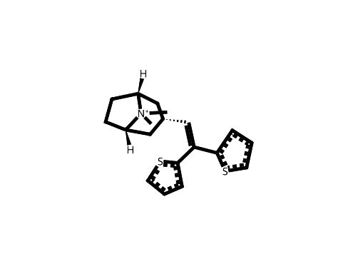 C[N+]1(C)[C@@H]2CC[C@H]1C[C@@H](C=C(c1cccs1)c1cccs1)C2